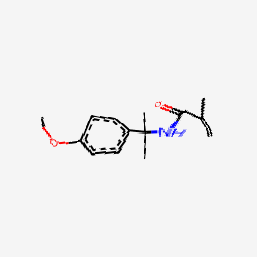 C=C(C)C(=O)NC(C)(C)c1ccc(OC)cc1